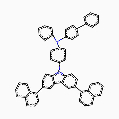 c1ccc(-c2ccc(N(c3ccccc3)c3ccc(-n4c5ccc(-c6cccc7ccccc67)cc5c5cc(-c6cccc7ccccc67)ccc54)cc3)cc2)cc1